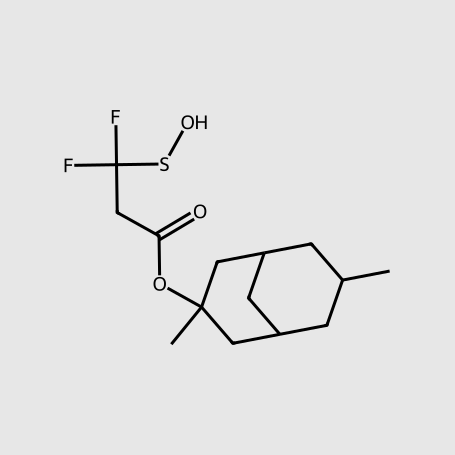 CC1CC2CC(C1)CC(C)(OC(=O)CC(F)(F)SO)C2